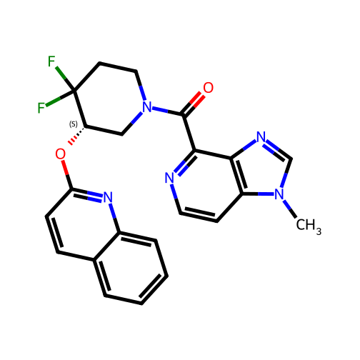 Cn1cnc2c(C(=O)N3CCC(F)(F)[C@@H](Oc4ccc5ccccc5n4)C3)nccc21